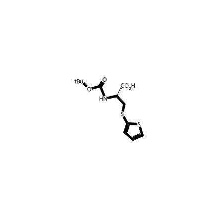 CC(C)(C)OC(=O)N[C@@H](CSc1cccs1)C(=O)O